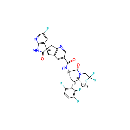 C[C@@H]1[C@H](c2c(F)ccc(F)c2F)C[C@H](NC(=O)c2cnc3c(c2)C[C@@]2(C3)C(=O)Nc3ncc(F)cc32)C(=O)N1CC(F)(F)F